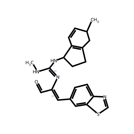 CN/C(=N\C(C=O)=C/c1ccc2ncsc2c1)NC1CCC2=C1C=CC(C)C2